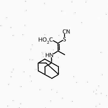 C/C(NC12CC3CC(CC(C3)C1)C2)=C(\SC#N)C(=O)O